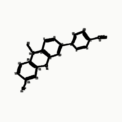 COc1ccc(-c2ccc3c(c2)Oc2cc(Br)ccc2N3C)cc1